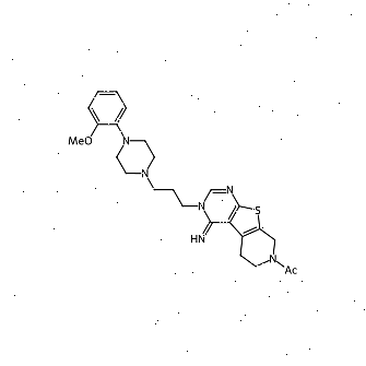 COc1ccccc1N1CCN(CCCn2cnc3sc4c(c3c2=N)CCN(C(C)=O)C4)CC1